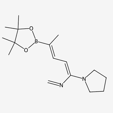 C=N/C(=C\C=C(/C)B1OC(C)(C)C(C)(C)O1)N1CCCC1